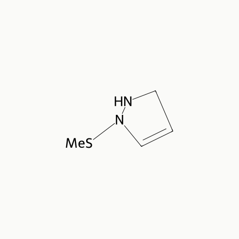 CSN1C=CCN1